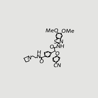 COc1cc2nc(NC(=O)C(Oc3ccc(C#N)cc3)c3ccc(C(=O)NCCN4CCCC4)cc3)sc2cc1OC